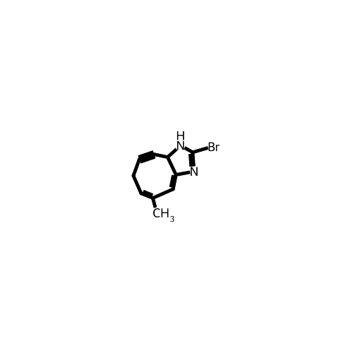 CC1=C/CC#CC2NC(Br)=N\C2=C\1